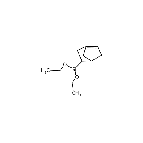 CCO[SiH](OCC)C1CC2=CCC1C2